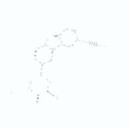 CC#Cc1cc2c(cc1F)sc1ccc(C3CN(C)C(=O)C(=N)N3)cc12